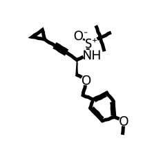 COc1ccc(COC[C@@H](C#CC2CC2)N[S@+]([O-])C(C)(C)C)cc1